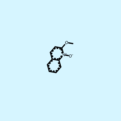 COc1ccc2ccccc2[n+]1[O-]